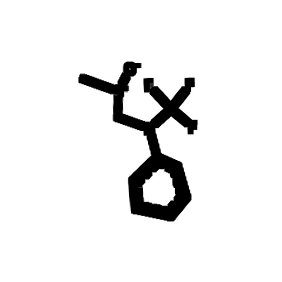 C[S+]([O-])CN(c1ccccc1)C(F)(F)F